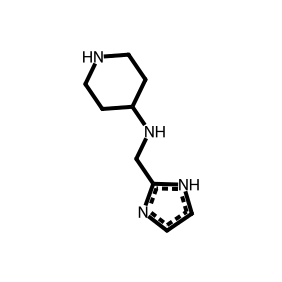 c1c[nH]c(CNC2CCNCC2)n1